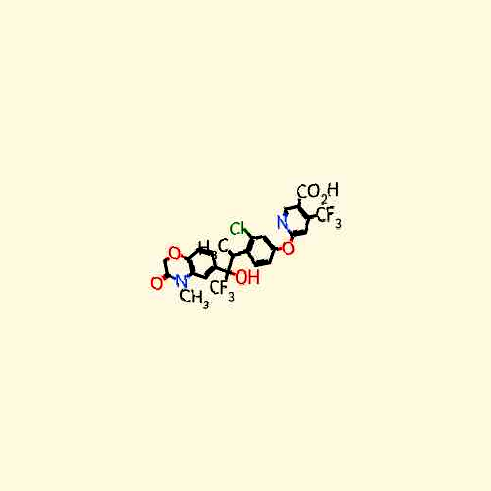 CC(c1ccc(Oc2cc(C(F)(F)F)c(C(=O)O)cn2)cc1Cl)C(O)(c1ccc2c(c1)N(C)C(=O)CO2)C(F)(F)F